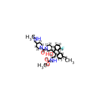 CCc1cccc(-c2c(F)cccc2[C@](O)(CCCNC(=O)OC)[C@@H]2CCCN(C(=O)N3CCC(CNC)CC3)C2)c1